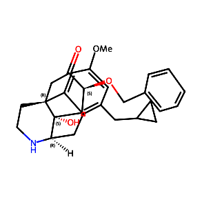 COc1cc(CC2CC2)c2c(c1)[C@]13CCN[C@H](C2)[C@]1(O)C[C@H](OCc1ccccc1)C(=O)C3